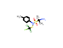 Cc1ccc(N(SC(F)(Cl)Cl)S(=O)(=O)C(C)(C)N)cc1